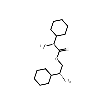 C[C@@H](COC(=O)N(C)C1CCCCC1)C1CCCCC1